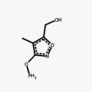 Cc1c(OP)noc1CO